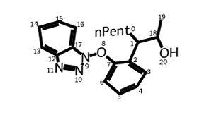 CCCCCC(c1ccccc1On1nnc2ccccc21)C(C)O